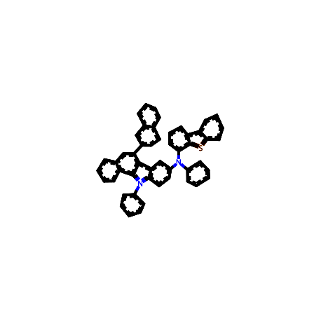 c1ccc(N(c2ccc3c(c2)c2c(-c4ccc5ccccc5c4)cc4ccccc4c2n3-c2ccccc2)c2cccc3c2sc2ccccc23)cc1